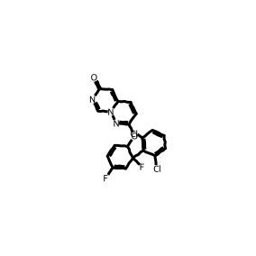 O=c1cc2ccc(OC3C=CC(F)=CC3(F)c3c(Cl)cccc3Cl)nn2cn1